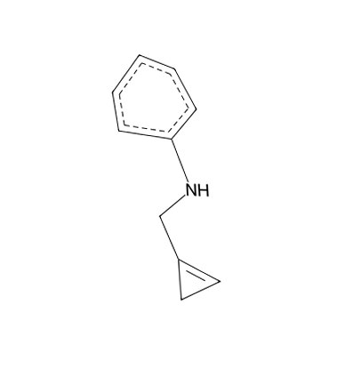 C1=C(CNc2ccccc2)C1